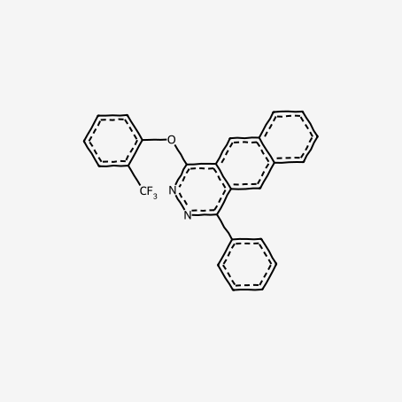 FC(F)(F)c1ccccc1Oc1nnc(-c2ccccc2)c2cc3ccccc3cc12